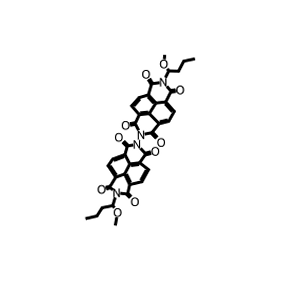 CCCC(OC)N1C(=O)c2ccc3c4c(ccc(c24)C1=O)C(=O)N(N1C(=O)c2ccc4c5c(ccc(c25)C1=O)C(=O)N(C(CCC)OC)C4=O)C3=O